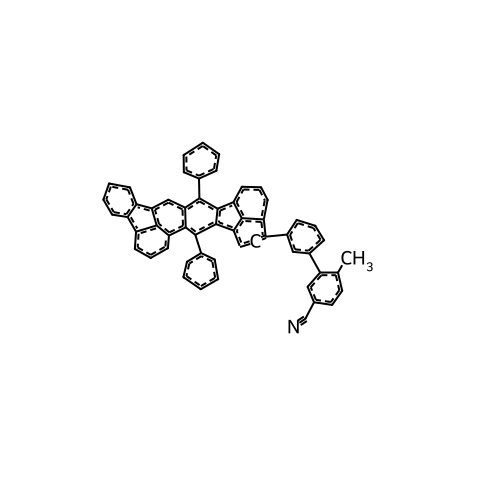 Cc1ccc(C#N)cc1-c1cccc(-c2ccc3c4c(-c5ccccc5)c5c(cc6c7ccccc7c7cccc5c76)c(-c5ccccc5)c4c4cccc2c43)c1